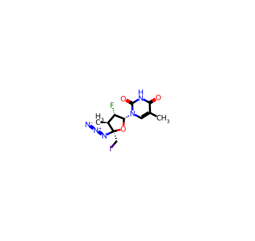 Cc1cn([C@@H]2O[C@@](CI)(N=[N+]=[N-])[C@@H](C)[C@@H]2F)c(=O)[nH]c1=O